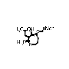 CCCCCCCCCCON1CCCN=C(C)C(CC(C)O)C1=O